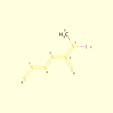 CS(I)=S(=S)=S=S=S=S